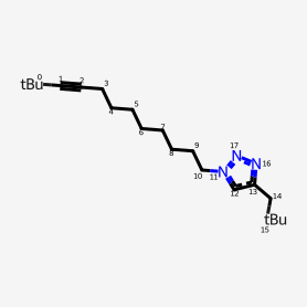 CC(C)(C)C#CCCCCCCCCn1cc(CC(C)(C)C)nn1